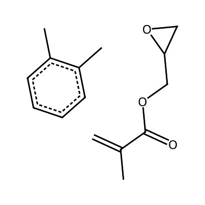 C=C(C)C(=O)OCC1CO1.Cc1ccccc1C